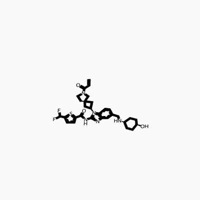 C=CC(=O)N1CC[C@]2(C1)C[C@H](n1c(NC(=O)c3ccc(C(F)F)s3)nc3cc(CN[C@H]4CC[C@H](O)CC4)ccc31)C2